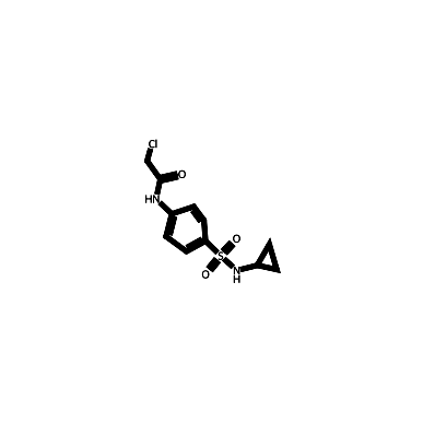 O=C(CCl)Nc1ccc(S(=O)(=O)NC2CC2)cc1